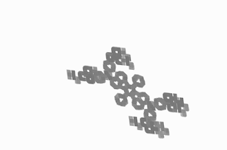 CC(C)Oc1ccc(N(c2ccc(OC(C)C)cc2)c2ccc3c4c(-c5ccccc5)c5c6cccc7c(N(c8ccc(C(C)(C)C)cc8)c8ccc(C(C)(C)C)cc8)ccc(c5c(-c5ccccc5)c4c4cccc2c43)c76)cc1